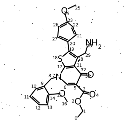 CCOC(=O)c1cn(Cc2ccccc2OC)c2sc(-c3ccc(OC)cc3)c(CN)c2c1=O